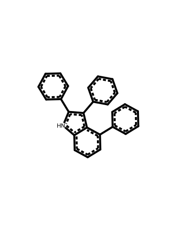 c1ccc(-c2[nH]c3cccc(-c4ccccc4)c3c2-c2ccccc2)cc1